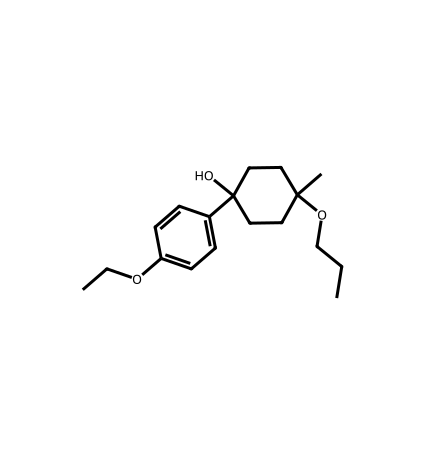 CCCOC1(C)CCC(O)(c2ccc(OCC)cc2)CC1